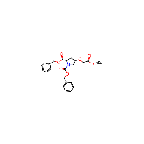 CC(C)(C)OC(=O)CO[C@@H]1C[C@@H](C(=O)OCc2ccccc2)N(C(=O)OCc2ccccc2)C1